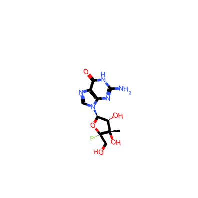 C[C@]1(O)[C@@H](O)[C@H](n2cnc3c(=O)[nH]c(N)nc32)O[C@]1(F)CO